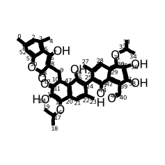 Cc1cc(C)c2c(O)c(CC3C(=O)C(O)=C(OC(C)C)c4cc(C)c(-c5c(C)cc6c(OC(C)C)c(O)c(O)c(C=O)c6c5O)c(O)c43)c(=O)oc2c1